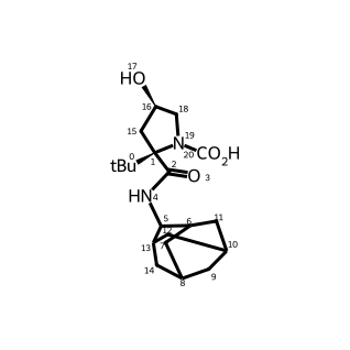 CC(C)(C)[C@@]1(C(=O)NC2C3CC4CC(C3)CC2C4)C[C@@H](O)CN1C(=O)O